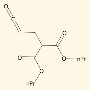 CCCOC(=O)C(CC=C=O)C(=O)OCCC